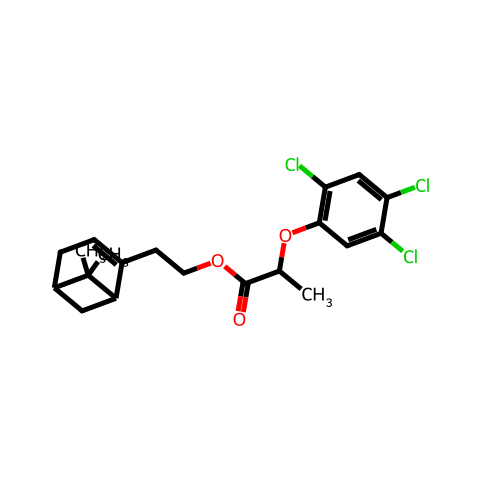 CC(Oc1cc(Cl)c(Cl)cc1Cl)C(=O)OCCC1=CCC2CC1C2(C)C